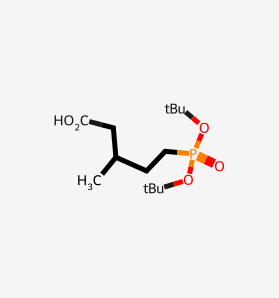 CC(CCP(=O)(OC(C)(C)C)OC(C)(C)C)CC(=O)O